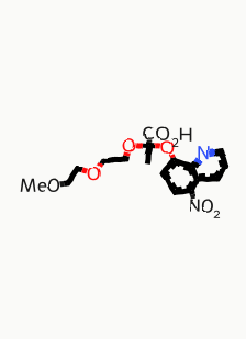 COCCOCCOC(C)(Oc1ccc([N+](=O)[O-])c2cccnc12)C(=O)O